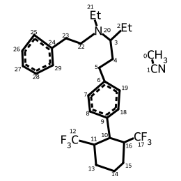 CC#N.CCC(CCc1ccc(C2C(C(F)(F)F)CCCC2C(F)(F)F)cc1)N(CC)CCc1ccccc1